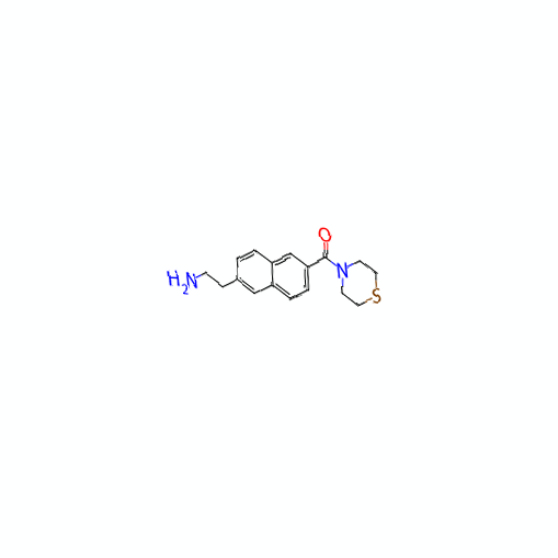 NCCc1ccc2cc(C(=O)N3CCSCC3)ccc2c1